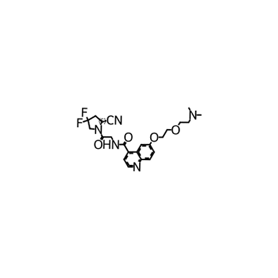 CN(C)CCOCCOc1ccc2nccc(C(=O)NCC(=O)N3CC(F)(F)C[C@H]3C#N)c2c1